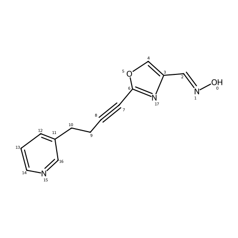 ON=Cc1coc(C#CCCc2cccnc2)n1